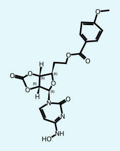 COc1ccc(C(=O)OCC[C@H]2O[C@@H](n3ccc(NO)nc3=O)[C@@H]3OC(=O)O[C@@H]32)cc1